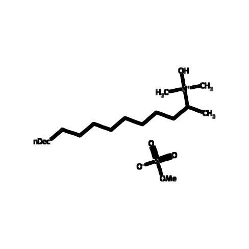 CCCCCCCCCCCCCCCCCCC(C)[N+](C)(C)O.COS(=O)(=O)[O-]